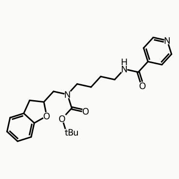 CC(C)(C)OC(=O)N(CCCCNC(=O)c1ccncc1)CC1Cc2ccccc2O1